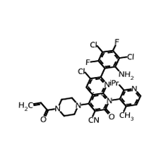 C=CC(=O)N1CCN(c2c(C#N)c(=O)n(-c3c(C)ccnc3C(C)C)c3nc(-c4c(N)c(Cl)c(F)c(Cl)c4F)c(Cl)cc23)CC1